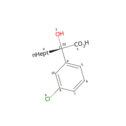 CCCCCCC[C@@](O)(C(=O)O)c1cccc(Cl)c1